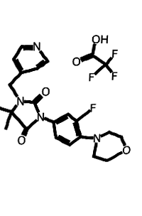 CC1(C)C(=O)N(c2ccc(N3CCOCC3)c(F)c2)C(=O)N1Cc1ccncc1.O=C(O)C(F)(F)F